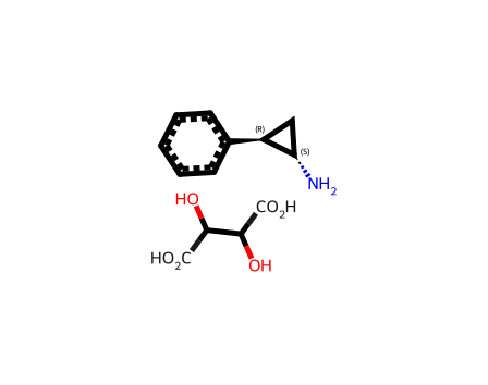 N[C@H]1C[C@@H]1c1ccccc1.O=C(O)C(O)C(O)C(=O)O